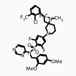 COc1ccc(CN(c2ccncn2)S(=O)(=O)c2c(F)cc(N3CCCC(CCc4cccc(C(F)(F)F)c4Cl)(N(C)C)C3)cc2F)c(OC)c1